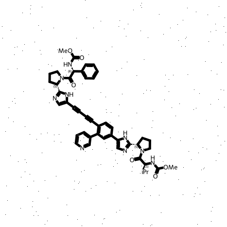 COC(=O)N[C@H](C(=O)N1CCC[C@H]1c1ncc(-c2ccc(C#CC#Cc3cnc([C@@H]4CCCN4C(=O)[C@H](NC(=O)OC)c4ccccc4)[nH]3)c(-c3cccnc3)c2)[nH]1)C(C)C